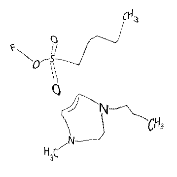 CCCCS(=O)(=O)OF.CCN1C=CN(C)C1